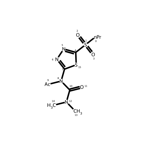 CCCS(=O)(=O)c1nnc(N(C(C)=O)C(=O)N(C)C)s1